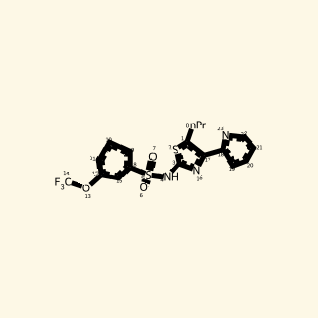 CCCc1sc(NS(=O)(=O)c2cccc(OC(F)(F)F)c2)nc1-c1ccccn1